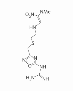 CNC(=CNCCSCc1noc(NC(=N)N)n1)[N+](=O)[O-]